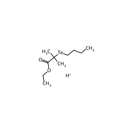 CCCC[Te]C(C)(C)C(=O)OCC.[H+]